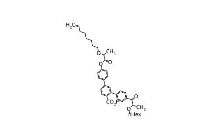 C=CCCCCCCOC(C)C(=O)Oc1ccc(-c2ccc(C(=O)O)c(-c3ccc(C(=O)C(C)OCCCCCC)cc3)c2)cc1